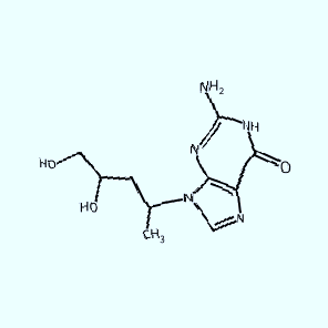 CC(CC(O)CO)n1cnc2c(=O)[nH]c(N)nc21